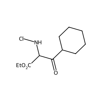 CCOC(=O)C(NCl)C(=O)C1CCCCC1